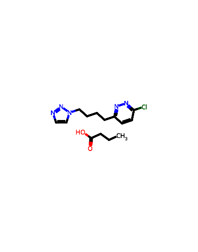 CCCC(=O)O.Clc1ccc(CCCCn2ccnn2)nn1